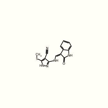 CSc1[nH]nc(NC=C2C(=O)Nc3ccccc32)c1C#N